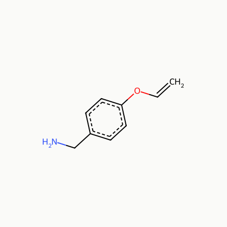 C=COc1ccc(CN)cc1